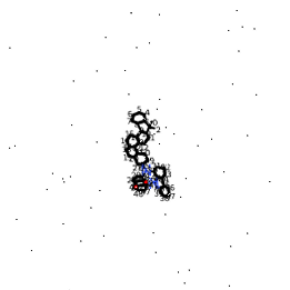 CC1(C)c2ccccc2-c2c1ccc1c2ccc2ccc3cc(N(c4ccccc4)c4cccc5c6ccccc6n(-c6ccccc6)c45)ccc3c21